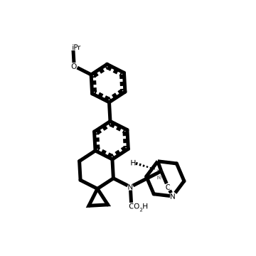 CC(C)Oc1cccc(-c2ccc3c(c2)CCC2(CC2)C3N(C(=O)O)[C@@H]2CN3CCC2CC3)c1